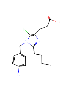 CCCCc1nc(CCC(=O)O)c(Cl)n1Cc1ccc(N)cc1